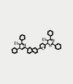 CCC1C(c2ccccc2)=NC(c2ccc3ccc(-c4ccc(C5N=C(c6ccccc6)N=C(c6ccccc6)C5CC)cc4)cc3c2)=CC1c1ccccc1